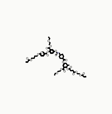 C=CC(=O)OCCCCOc1ccc(C(=O)Oc2ccc(O/[N+]([O-])=C/C3CCC(C(=O)OC4=CC(C(=O)OCCOCC)=C(OC(=O)CCC(=O)OCCOC(=O)C=C)C(C)C4)CC3)cc2C(=O)OCCOCC)cc1